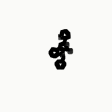 O=c1oc(-c2ccccn2)cc2c3ccccc3n(Cc3ccccc3)c12